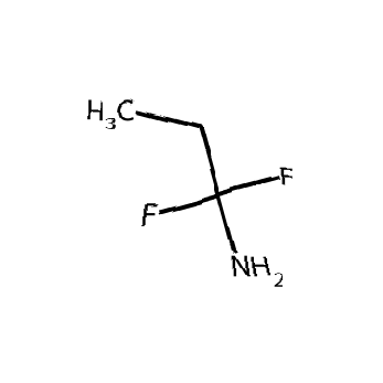 CCC(N)(F)F